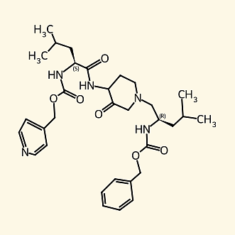 CC(C)C[C@H](CN1CCC(NC(=O)[C@H](CC(C)C)NC(=O)OCc2ccncc2)C(=O)C1)NC(=O)OCc1ccccc1